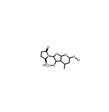 CCOC1CC(C)C2C(O1)OC(N1C(=O)CCC1=O)C2OC(=O)O